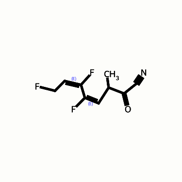 CC(/C=C(F)\C(F)=C/CF)C(=O)C#N